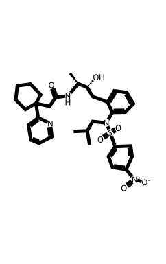 CC(C)CN(c1ccccc1C[C@@H](O)[C@H](C)NC(=O)CC1(c2ccccn2)CCCCC1)S(=O)(=O)c1ccc([N+](=O)[O-])cc1